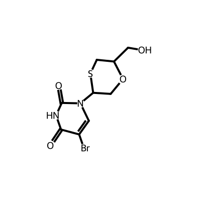 O=c1[nH]c(=O)n(C2COC(CO)CS2)cc1Br